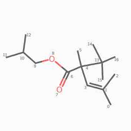 CC(C)=CC(C)(C(=O)OCC(C)C)C(C)(C)C